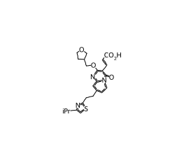 CC(C)c1csc(CCc2ccn3c(=O)c(C=CC(=O)O)c(OCC4CCOC4)nc3c2)n1